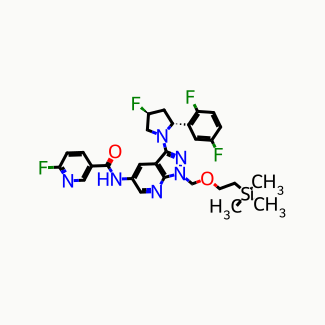 C[Si](C)(C)CCOCn1nc(N2C[C@@H](F)C[C@@H]2c2cc(F)ccc2F)c2cc(NC(=O)c3ccc(F)nc3)cnc21